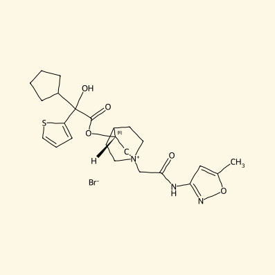 Cc1cc(NC(=O)C[N+]23CCC(CC2)[C@@H](OC(=O)C(O)(c2cccs2)C2CCCC2)C3)no1.[Br-]